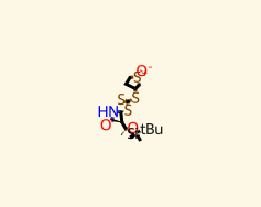 C[C@@H](O[Si](C)(C)C(C)(C)C)[C@H]1C(=O)N[C@@H]1SC(=S)SC1CC[S+]([O-])C1